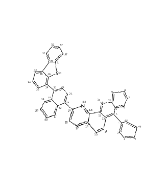 c1ccc(-c2c3ccccc3nc3c2ccc2ccc(-c4ccc(-c5cccc6c5sc5ccccc56)c5ccccc45)nc23)cc1